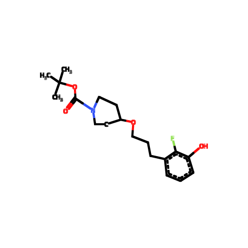 CC(C)(C)OC(=O)N1CCC(OCCCc2cccc(O)c2F)CC1